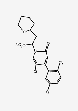 N#Cc1ccc(Cl)cc1-c1cc(=O)n(C(CC2CCCCO2)C(=O)O)cc1Cl